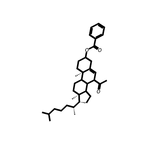 CC(=O)C1C=C2CC(OC(=O)c3ccccc3)CC[C@]2(C)C2CC[C@@]3(C)C(CC[C@@H]3[C@H](C)CCCC(C)C)C12